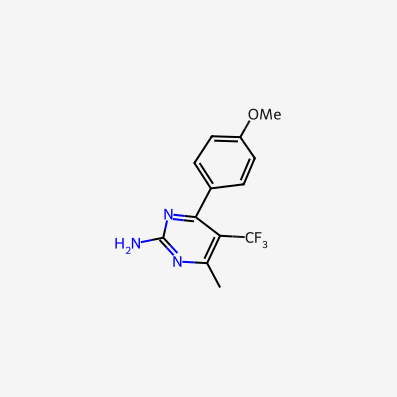 COc1ccc(-c2nc(N)nc(C)c2C(F)(F)F)cc1